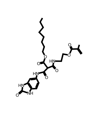 C=C(C)C(=O)OCCNC(=O)C(C(=O)Nc1ccc2[nH]c(=O)[nH]c2c1)C(=O)OCCCCCCCC